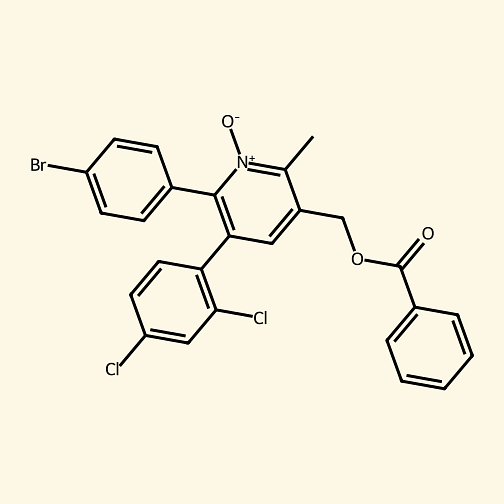 Cc1c(COC(=O)c2ccccc2)cc(-c2ccc(Cl)cc2Cl)c(-c2ccc(Br)cc2)[n+]1[O-]